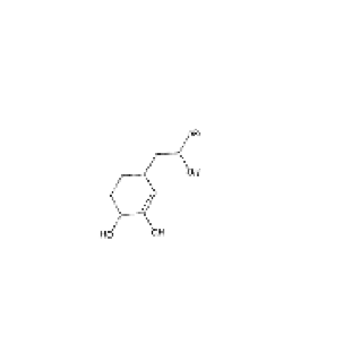 CCCC(O)CC1C=C(O)C(O)CC1